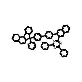 C1=CCC2C(=C1)C=CC1=C2c2ccccc2C1(c1ccccc1)c1ccc(-c2ccc(-c3cc4ccccc4cc3-c3nc(-c4ccccc4)nc(-c4ccccc4)n3)cc2)cc1